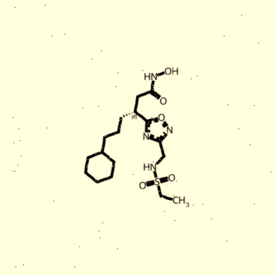 CCS(=O)(=O)NCc1noc([C@H](CCCC2CCCCC2)CC(=O)NO)n1